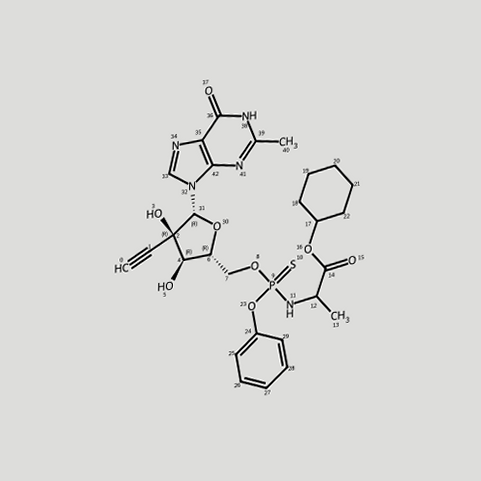 C#C[C@@]1(O)[C@H](O)[C@@H](COP(=S)(NC(C)C(=O)OC2CCCCC2)Oc2ccccc2)O[C@H]1n1cnc2c(=O)[nH]c(C)nc21